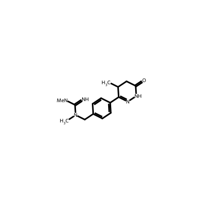 CNC(=N)N(C)Cc1ccc(C2=NNC(=O)CC2C)cc1